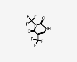 O=c1[nH]cc(C(F)(F)F)c(=O)n1C(F)(F)F